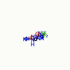 CN1CCN(CCC(=O)Nc2ccc3c(c2)NC(=C(C(N)=O)c2nccc(C(F)(F)F)n2)N3)CC1